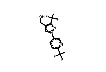 OCc1cn(-c2ccc(C(F)(F)F)nc2)nc1C(F)(F)F